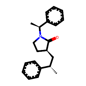 C[C@@H](C[C@H]1CCN([C@@H](C)c2ccccc2)C1=O)c1ccccc1